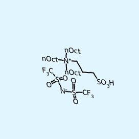 CCCCCCCC[N+](CCCCCCCC)(CCCCCCCC)CCCS(=O)(=O)O.O=S(=O)([N-]S(=O)(=O)C(F)(F)F)C(F)(F)F